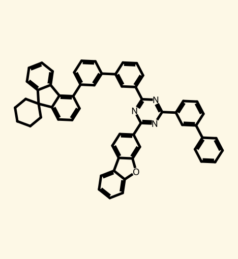 c1ccc(-c2cccc(-c3nc(-c4cccc(-c5cccc(-c6cccc7c6-c6ccccc6C76CCCCC6)c5)c4)nc(-c4ccc5c(c4)oc4ccccc45)n3)c2)cc1